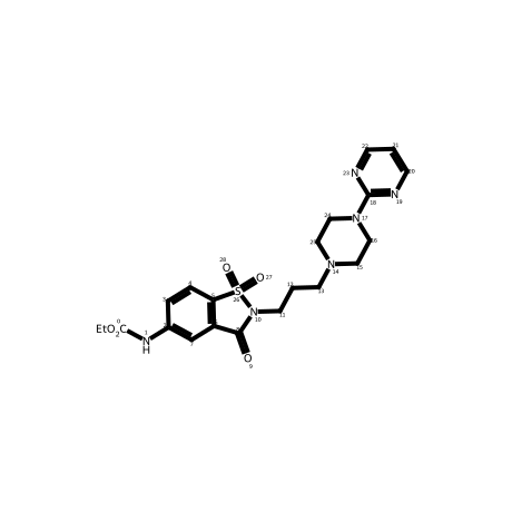 CCOC(=O)Nc1ccc2c(c1)C(=O)N(CCCN1CCN(c3ncccn3)CC1)S2(=O)=O